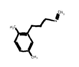 C=NCCCc1cc(C)ccc1C